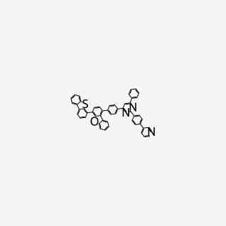 c1ccc(-c2cc(-c3ccc(-c4ccc(-c5cccc6c5sc5ccccc56)c5oc6ccccc6c45)cc3)nc(-c3ccc(-c4cccnc4)cc3)n2)cc1